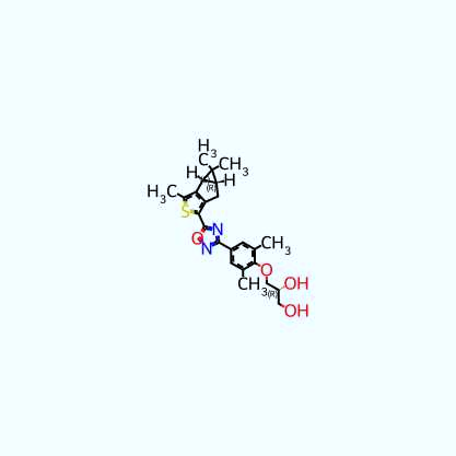 Cc1cc(-c2noc(-c3sc(C)c4c3C[C@@H]3[C@H]4C3(C)C)n2)cc(C)c1OC[C@H](O)CO